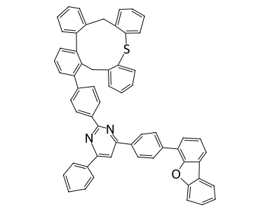 c1ccc(-c2cc(-c3ccc(-c4cccc5c4oc4ccccc45)cc3)nc(-c3ccc(-c4cccc5c4Cc4ccccc4Sc4ccccc4Cc4ccccc4-5)cc3)n2)cc1